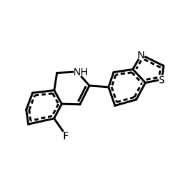 Fc1cccc2c1C=C(c1ccc3scnc3c1)NC2